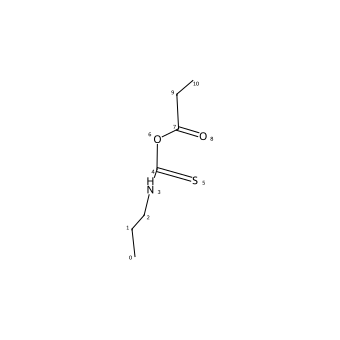 CCCNC(=S)OC(=O)CC